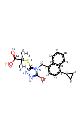 CC(C)(Sc1nnc(Br)n1Cc1ccc(C2CC2)c2ccccc12)C(=O)O